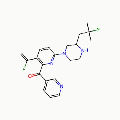 C=C(F)c1ccc(N2CCNC(CC(C)(C)F)C2)nc1C(=O)c1cccnc1